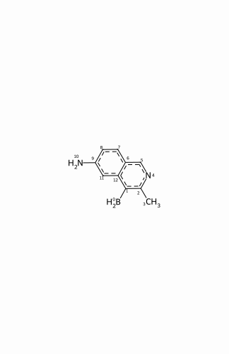 Bc1c(C)ncc2ccc(N)cc12